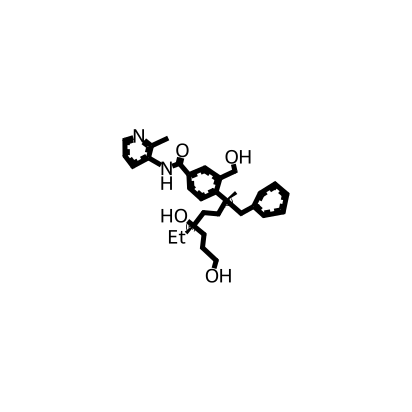 CC[C@](O)(CCCO)CC[C@@](C)(Cc1ccccc1)c1ccc(C(=O)Nc2cccnc2C)cc1CO